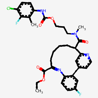 CCOC(=O)/C1=N\c2ccc(F)cc2-c2ccnc(c2)C(C(=O)N(C)CCCOC(=O)Nc2ccc(Cl)c(F)c2C)CCCC1